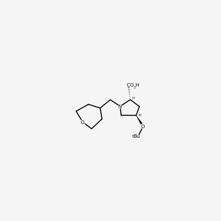 CC(C)(C)O[C@@H]1C[C@@H](C(=O)O)N(CC2CCOCC2)C1